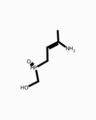 CC(N)=CC[PH](=O)CO